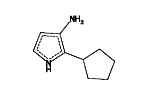 Nc1cc[nH]c1C1CCCC1